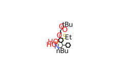 CCCCC1CC(c2ccccc2)c2cc(SCC)c(O/C=C/C(=O)OC(C)(C)C)cc2S(O)(O)N1C